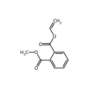 C=COC(=O)c1ccccc1C(=O)OC